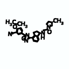 CC(C)Oc1ccc(-c2nc(-c3cccc4c3CC[C@H]4NCC(=O)N3CC[C@H](C)C3)no2)cc1C#N